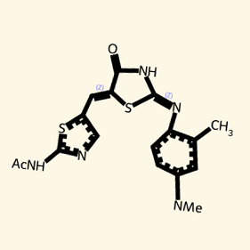 CNc1ccc(/N=C2/NC(=O)/C(=C/c3cnc(NC(C)=O)s3)S2)c(C)c1